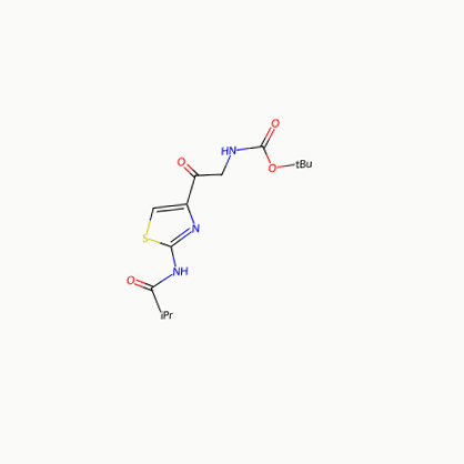 CC(C)C(=O)Nc1nc(C(=O)CNC(=O)OC(C)(C)C)cs1